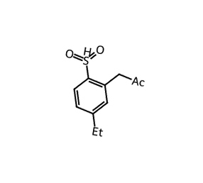 CCc1ccc([SH](=O)=O)c(CC(C)=O)c1